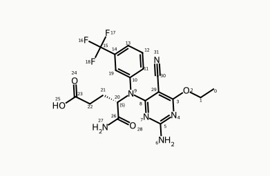 CCOc1nc(N)nc(N(c2cccc(C(F)(F)F)c2)[C@@H](CCC(=O)O)C(N)=O)c1C#N